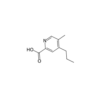 CCCc1cc(C(=O)O)ncc1C